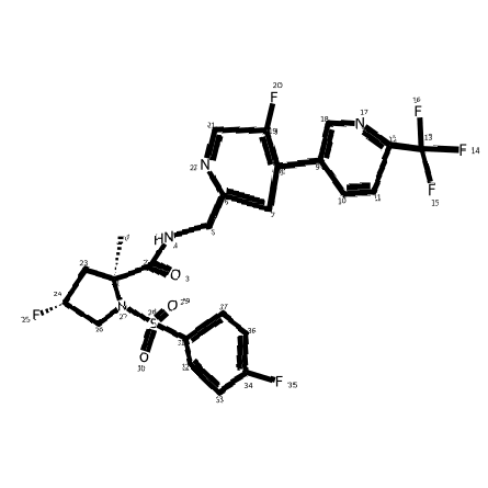 C[C@@]1(C(=O)NCc2cc(-c3ccc(C(F)(F)F)nc3)c(F)cn2)C[C@@H](F)CN1S(=O)(=O)c1ccc(F)cc1